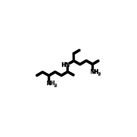 CCC(N)CCC(C)NC(CC)CCC(C)N